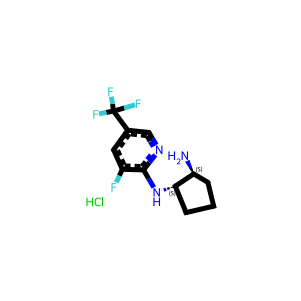 Cl.N[C@H]1CCC[C@@H]1Nc1ncc(C(F)(F)F)cc1F